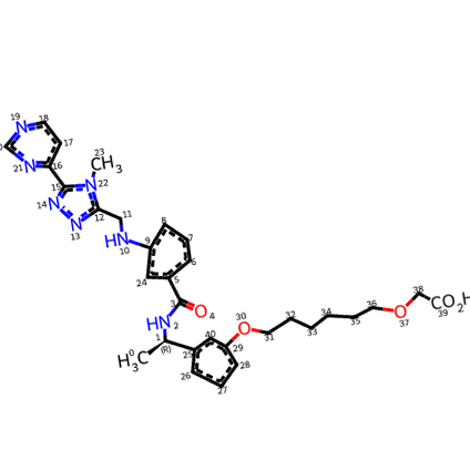 C[C@@H](NC(=O)c1cccc(NCc2nnc(-c3ccncn3)n2C)c1)c1cccc(OCCCCCCOCC(=O)O)c1